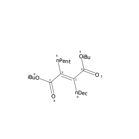 CCCCCCCCCCC(C(=O)OCC(C)C)=C(CCCCC)C(=O)OCC(C)C